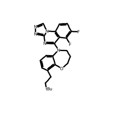 CC(C)(C)CCc1cccc2c1OCCCN2c1nc2nncn2c2ccc(F)c(F)c12